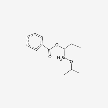 CCC(OC(=O)c1ccccc1)[SiH2]OC(C)C